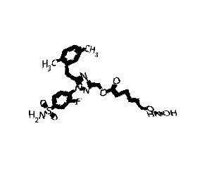 Cc1ccc(C)c(Cc2nc(COC(=O)CCCCCONO)nn2-c2ccc(S(N)(=O)=O)cc2F)c1